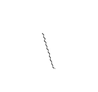 [CH]=CC=CC=CC=CC=CC=CC=CC=CC=CC=C